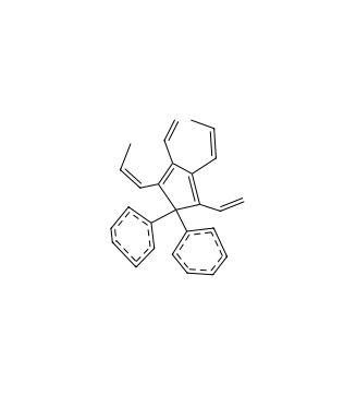 C=CC1=C(/C=C\C)C(c2ccccc2)(c2ccccc2)C(C=C)=C1/C=C\C